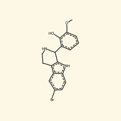 COc1cccc(C2NCCc3c2[nH]c2ccc(Br)cc32)c1O